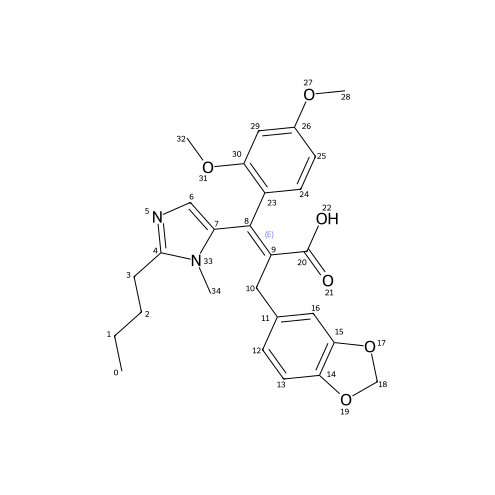 CCCCc1ncc(/C(=C(\Cc2ccc3c(c2)OCO3)C(=O)O)c2ccc(OC)cc2OC)n1C